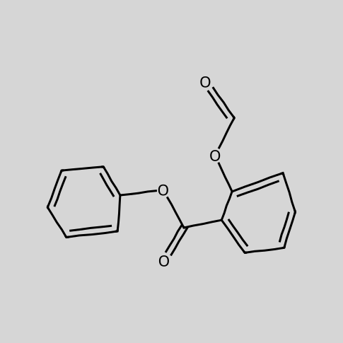 O=COc1ccccc1C(=O)Oc1ccccc1